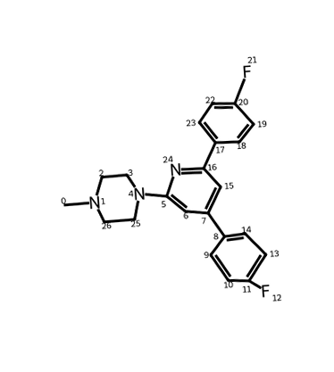 CN1CCN(c2cc(-c3ccc(F)cc3)cc(-c3ccc(F)cc3)n2)CC1